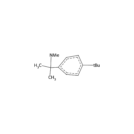 CNC(C)(C)c1ccc(C(C)(C)C)cc1